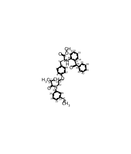 COC(=O)[C@H](Cc1ccc(OCCN(C(=O)C(C)C)c2cccc(SC)c2)cc1)Nc1ccccc1C(=O)c1ccccc1